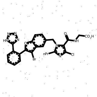 CCCc1nc(Cl)c(C(=O)NCC(=O)O)n1Cc1ccc2oc(-c3ccccc3-c3nnn[nH]3)c(Br)c2c1